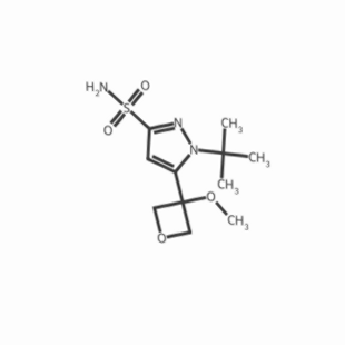 COC1(c2cc(S(N)(=O)=O)nn2C(C)(C)C)COC1